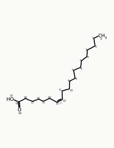 CCCCCCCCCCCC/C=C\CCCCCC(=O)O